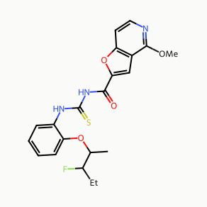 CCC(F)C(C)Oc1ccccc1NC(=S)NC(=O)c1cc2c(OC)nccc2o1